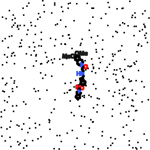 COc1cc2c(cc1OC)CCN(C(=O)CCNCC1Cc3cc(OC(=O)N4CC5CCCC5C4)ccc31)CC2